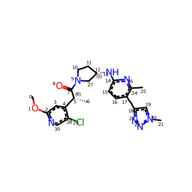 COc1cc([C@@H](C)C(=O)N2CC[C@H](Nc3ccc(-c4cn(C)nn4)c(C)n3)C2)c(Cl)cn1